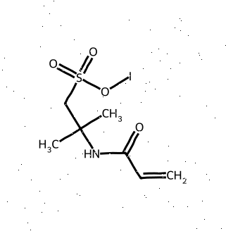 C=CC(=O)NC(C)(C)CS(=O)(=O)OI